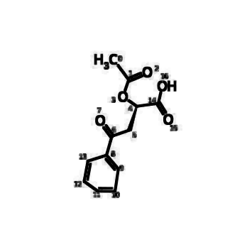 CC(=O)O[C@H](CC(=O)c1ccccc1)C(=O)O